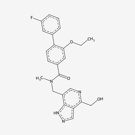 CCOc1cc(C(=O)N(C)Cc2cnc(CO)c3cn[nH]c23)ccc1-c1cccc(F)c1